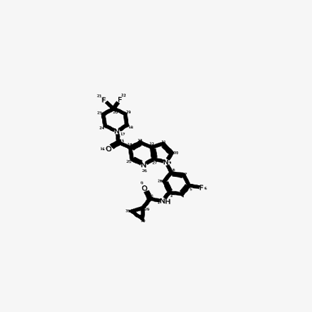 O=C(Nc1cc(F)cc(-n2ccc3cc(C(=O)N4CCC(F)(F)CC4)cnc32)c1)C1CC1